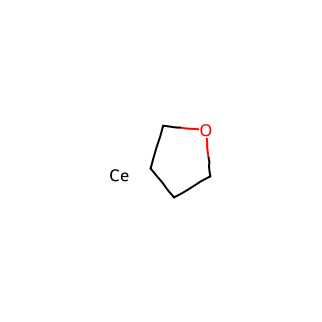 C1CCOC1.[Ce]